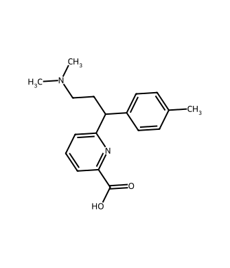 Cc1ccc(C(CCN(C)C)c2cccc(C(=O)O)n2)cc1